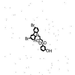 O=S(=O)(CC(O)Cn1c2ccc(Br)cc2c2cc(Br)ccc21)c1cccc(O)c1